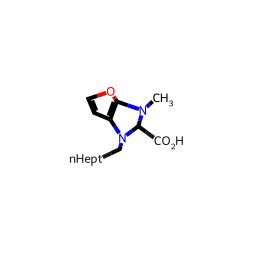 CCCCCCCCN1c2ccoc2N(C)C1C(=O)O